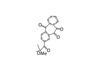 COC(C)(C)C(=O)c1ccc2c(c1)C(=O)C(=O)c1ccccc1C2=O